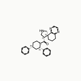 O=C([C@@H]1CNC[C@]12CCCc1nccnc12)N1CC[C@@H](c2ccccc2)C[C@H]1c1ccccc1